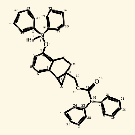 CC(C)(C)[Si](Oc1cccc2c1CCC1(COC(=O)N(c3ccccc3)c3ccccc3)CC21)(c1ccccc1)c1ccccc1